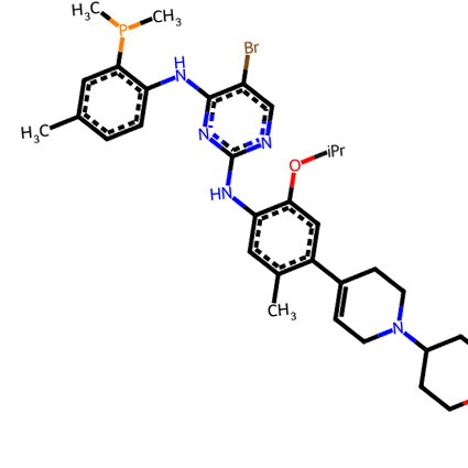 Cc1ccc(Nc2nc(Nc3cc(C)c(C4=CCN(C5CCOCC5)CC4)cc3OC(C)C)ncc2Br)c(P(C)C)c1